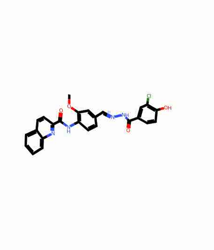 COc1cc(/C=N/NC(=O)c2ccc(O)c(Cl)c2)ccc1NC(=O)c1ccc2ccccc2n1